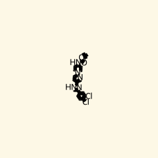 CC(C)(C)OC(=O)NC1CCN(c2ccc(-c3nc(-c4ccc(Cl)c(Cl)c4)c[nH]3)cn2)CC1